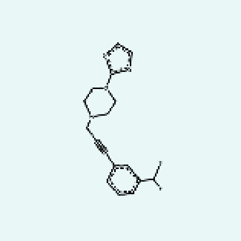 FC(F)c1cccc(C#CCN2CCN(c3nccs3)CC2)c1